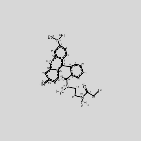 CCN(CC)c1ccc2c(-c3ccccc3C(=O)N(C)CCN(C)C(=O)CI)c3ccc(=N)cc-3oc2c1